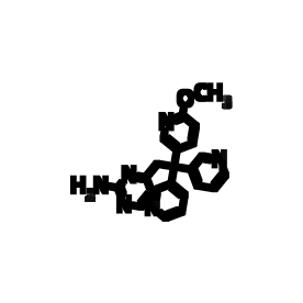 COc1ccc(C(Cc2ccnc(N)n2)(c2cccnc2)c2cccnc2)cn1